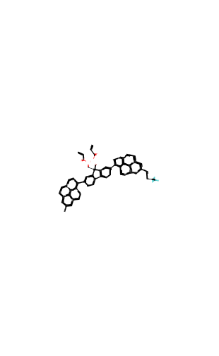 C=CC(=O)OCC1(COC(=O)C=C)c2cc(-c3ccc4ccc5cc(C)cc6ccc3c4c56)ccc2-c2ccc(-c3ccc4ccc5cc(CCC(F)(F)F)cc6ccc3c4c56)cc21